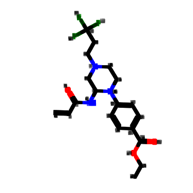 C=CC(=O)NC1CN(CCC(F)(F)F)CCN1c1ccc(C(=O)OCC)cc1